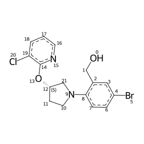 OCc1cc(Br)ccc1N1CC[C@H](Oc2ncccc2Cl)C1